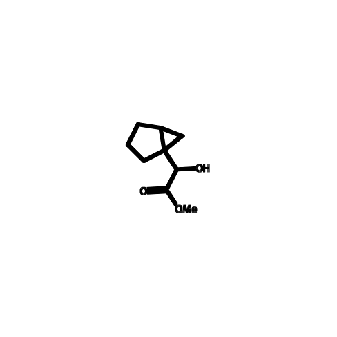 COC(=O)C(O)C12CCCC1C2